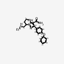 CCNCC1CCNc2c(C(N)=O)c(-c3ccc(Oc4ccccc4)cc3)nn21